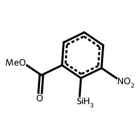 COC(=O)c1cccc([N+](=O)[O-])c1[SiH3]